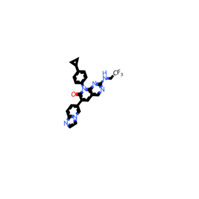 O=c1c(-c2ccc3nccn3c2)cc2cnc(NCC(F)(F)F)nc2n1-c1ccc(C2CC2)cc1